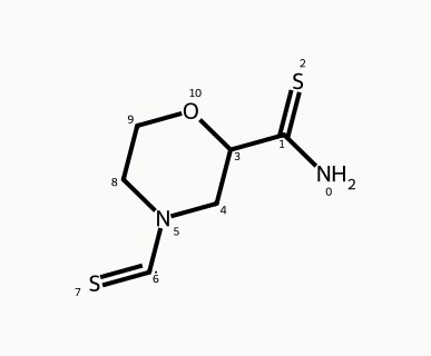 NC(=S)C1CN([C]=S)CCO1